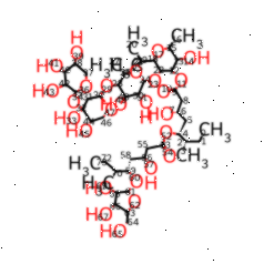 CC[C@H](C)[C@H](C[C@H](O)CC(=O)OC1C(O)C(C)OC(C(C)C)C1OC1OC(C)C(OC2CC(O)(OC3OCC(O)C(O)C3O)C(O)CO2)C(O)C1O)OC(=O)C[C@@H](O)C[C@H](OC1OC(CO)C(O)C1O)[C@@H](C)CC